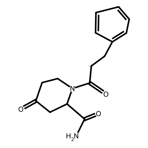 NC(=O)C1CC(=O)CCN1C(=O)[CH]Cc1ccccc1